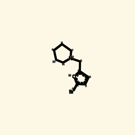 Brc1ccc(CN2CCCCC2)o1